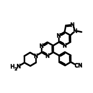 Cn1ncc2nc(-c3cnc(N4CCC(N)CC4)nc3-c3ccc(C#N)cc3)ncc21